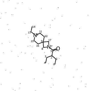 CCC(CC)C(=O)N1CC2(CCN(CC)CC2)C1